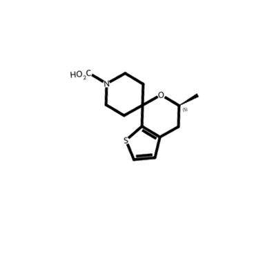 C[C@H]1Cc2ccsc2C2(CCN(C(=O)O)CC2)O1